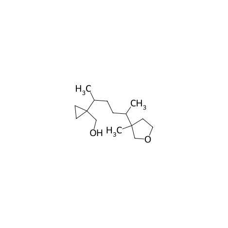 CC(CCC(C)C1(CO)CC1)C1(C)CCOC1